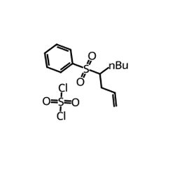 C=CCC(CCCC)S(=O)(=O)c1ccccc1.O=S(=O)(Cl)Cl